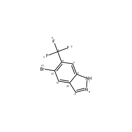 FC(F)(F)c1cc2[nH]ncc2cc1Br